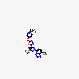 CN1CCC(Oc2nnc([C@]34CN(c5ccc(C#N)c6ncnn56)C[C@@]3(C(F)(F)F)C4)o2)CC1